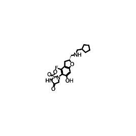 O=C1CN(c2c(O)cc3c(c2F)C[C@H](CNCC2CCCC2)O3)S(=O)(=O)N1